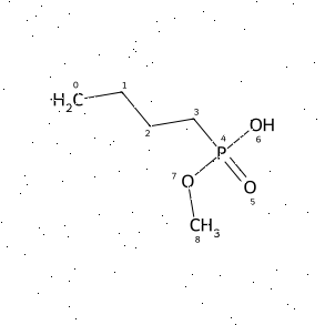 [CH2]CCCP(=O)(O)OC